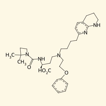 CC1(C)CCN1C(=O)N[C@@H](CCN(CCCCc1ccc2c(n1)NCCC2)CCOc1ccccc1)C(=O)O